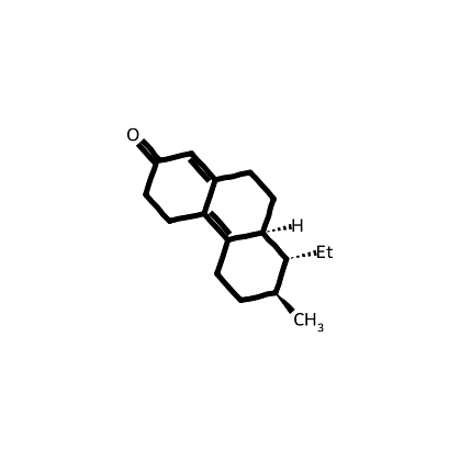 CC[C@H]1[C@@H]2CCC3=CC(=O)CCC3=C2CC[C@@H]1C